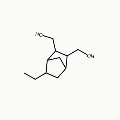 CCC1CC2CC1C(CO)C2CO